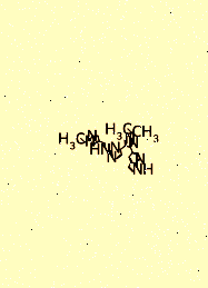 CCn1cc(CNc2nccc(-c3cn(C(C)C)nc3-c3cnc4[nH]ccc4c3)n2)cn1